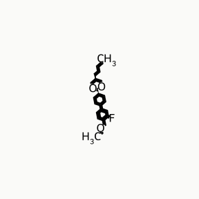 CCCCC[C@H]1CO[C@H](C2CCC(c3ccc(COCC)c(F)c3)CC2)OC1